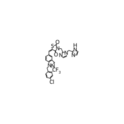 O=C1SC(=Cc2ccc3c(cnn3Cc3ccc(Cl)cc3C(F)(F)F)c2)C(=O)N1Cc1nccn1Cc1ncc[nH]1